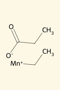 CCC(=O)[O-].C[CH2][Mn+]